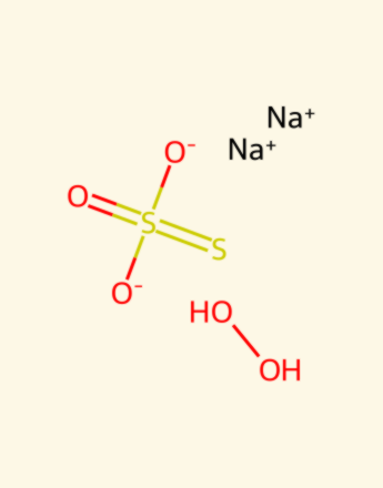 O=S([O-])([O-])=S.OO.[Na+].[Na+]